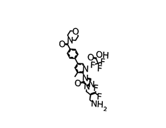 Cc1cc(-c2ccc(C(=O)N3CCOCC3)cc2)cnc1-n1cnn(CC(CN)=C(F)F)c1=O.O=C(O)C(F)(F)F